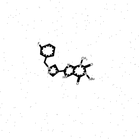 CCCCn1c(=O)c2[nH]c(-c3cnn(Cc4cccc(F)c4)c3)nc2n(C)c1=O